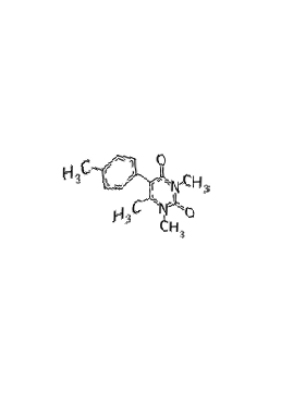 Cc1ccc(-c2c(C)n(C)c(=O)n(C)c2=O)cc1